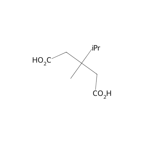 CC(C)C(C)(CC(=O)O)CC(=O)O